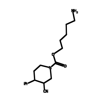 CC(C)C1CCN(C(=O)OCCCCCN)CC1C#N